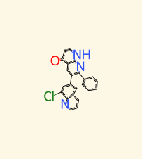 O=c1c#c[nH]c2nc(-c3ccccc3)c(-c3cc(Cl)c4ncccc4c3)cc12